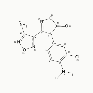 CN(C)c1ccc(-n2c(-c3nonc3N)noc2=O)cc1Cl